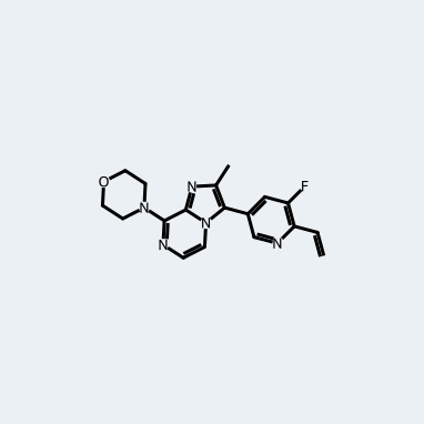 C=Cc1ncc(-c2c(C)nc3c(N4CCOCC4)nccn23)cc1F